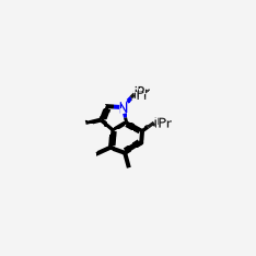 Cc1cc(C(C)C)c2c(c(C)cn2C(C)C)c1C